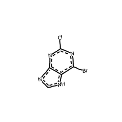 Clc1nc(Br)c2[nH]cnc2n1